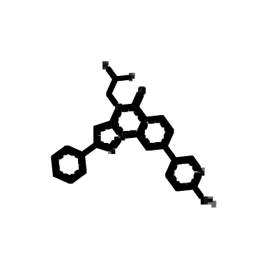 Nc1ccc(-c2ccc3c(=O)n(CC(F)F)c4cc(-c5ccccc5)nn4c3c2)cn1